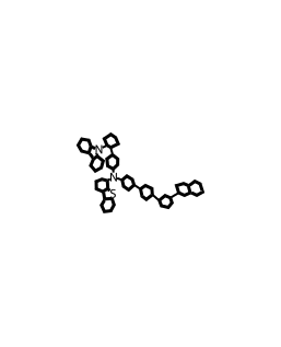 c1cc(-c2ccc(-c3ccc(N(c4ccc(-c5ccccc5-n5c6ccccc6c6ccccc65)cc4)c4cccc5c4sc4ccccc45)cc3)cc2)cc(-c2ccc3ccccc3c2)c1